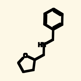 c1ccc(CNCC2CCCO2)cc1